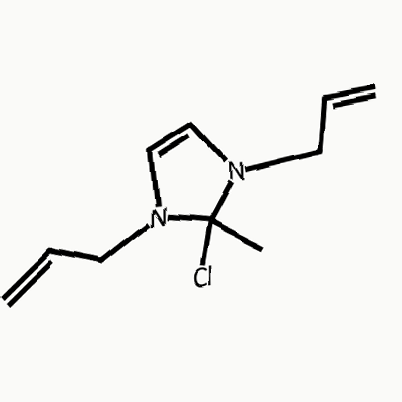 C=CCN1C=CN(CC=C)C1(C)Cl